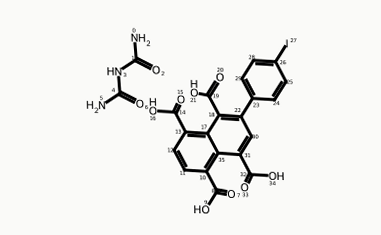 NC(=O)NC(N)=O.O=C(O)c1ccc(C(=O)O)c2c(C(=O)O)c(-c3ccc(I)cc3)cc(C(=O)O)c12